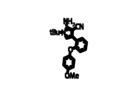 COc1ccc(Oc2ccccc2-c2cn(C(C)(C)C)c(N)c2C#N)cc1